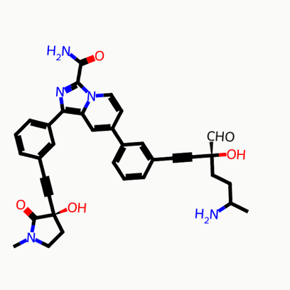 CC(N)CC[C@@](O)(C#Cc1cccc(-c2ccn3c(C(N)=O)nc(-c4cccc(C#C[C@]5(O)CCN(C)C5=O)c4)c3c2)c1)C=O